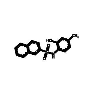 Cc1ccc(NS(=O)(=O)c2ccc3ccccc3c2)c(O)c1